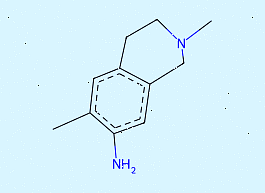 Cc1cc2c(cc1N)CN(C)CC2